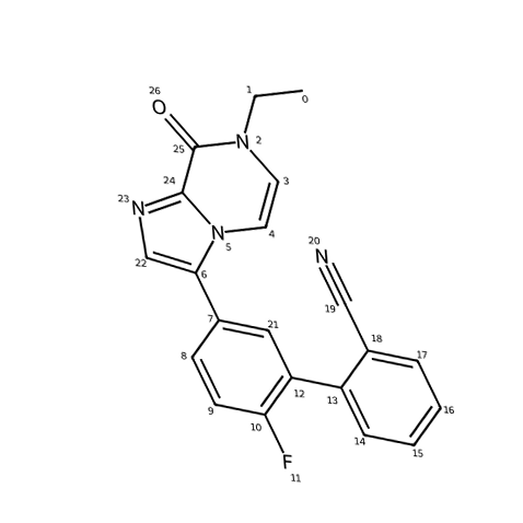 CCn1ccn2c(-c3ccc(F)c(-c4ccccc4C#N)c3)cnc2c1=O